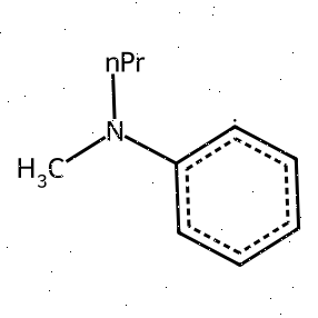 CCCN(C)c1[c]cccc1